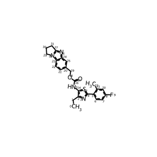 CCc1nc(-c2ccc(F)cc2C)sc1NC(=O)OCc1ccc2c(c1)nc1n2CCC1